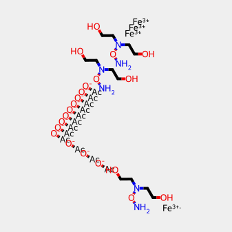 CC(=O)[O-].CC(=O)[O-].CC(=O)[O-].CC(=O)[O-].CC(=O)[O-].CC(=O)[O-].CC(=O)[O-].CC(=O)[O-].CC(=O)[O-].CC(=O)[O-].CC(=O)[O-].CC(=O)[O-].NON(CCO)CCO.NON(CCO)CCO.NON(CCO)CCO.[Fe+3].[Fe+3].[Fe+3].[Fe+3]